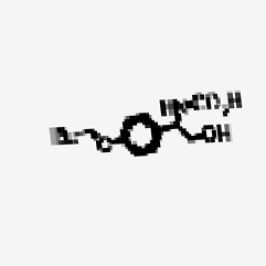 CC[C@H](C)COc1ccc([C@H](CO)NC(=O)O)cc1